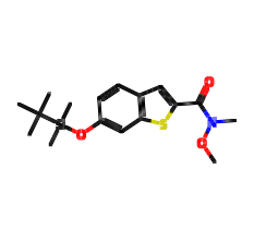 CON(C)C(=O)c1cc2ccc(O[Si](C)(C)C(C)(C)C)cc2s1